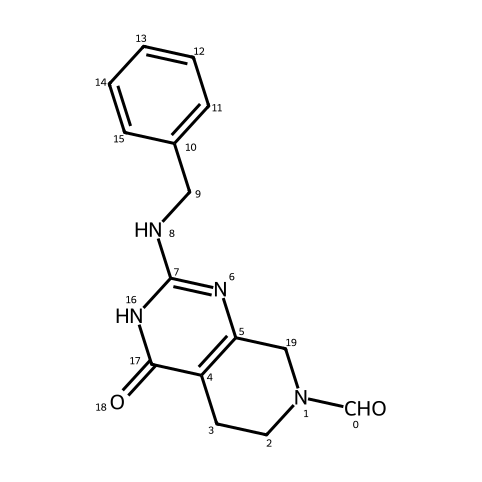 O=CN1CCc2c(nc(NCc3ccccc3)[nH]c2=O)C1